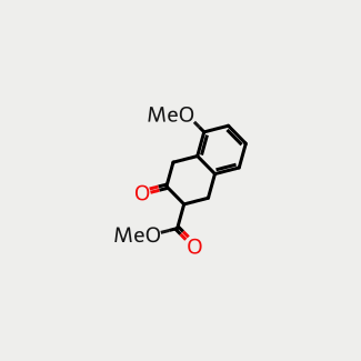 COC(=O)C1Cc2cccc(OC)c2CC1=O